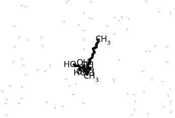 CCCCCCCCCCCC(=O)C(O)(C(C)=O)C(O)C(O)C(O)CO